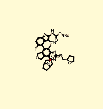 CC(C)(C)OC(=O)Nc1sc2ccc(F)c(-c3c4c(c5c(N6C7CCC6CN(C(=O)O)C7)nc(OC[C@H]6CCCO6)nc5c3F)COC4)c2c1C#N